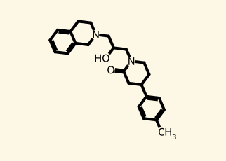 Cc1ccc(C2CCN(CC(O)CN3CCc4ccccc4C3)C(=O)C2)cc1